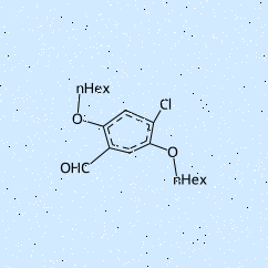 CCCCCCOc1cc(C=O)c(OCCCCCC)cc1Cl